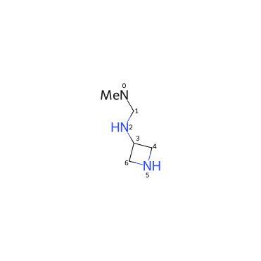 CNCNC1CNC1